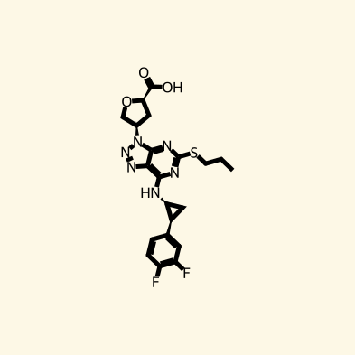 CCCSc1nc(N[C@@H]2C[C@H]2c2ccc(F)c(F)c2)c2nnn([C@H]3CO[C@@H](C(=O)O)C3)c2n1